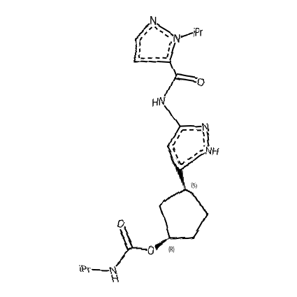 CC(C)NC(=O)O[C@@H]1CC[C@H](c2cc(NC(=O)c3ccnn3C(C)C)n[nH]2)C1